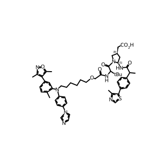 Cc1ccc(-c2c(C)noc2C)cc1N(CCCCCCOCC(=O)NC(C(=O)N1C[C@@H](CC(=O)O)C[C@H]1NC(=O)C(C)c1ccc(-c2scnc2C)cc1)C(C)(C)C)c1ccc(-n2ccnc2)cc1